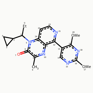 CCC(C1CC1)n1c(=O)c(C)nc2c(-c3cnc(OC)nc3OC)nccc21